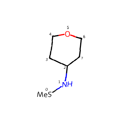 CSNC1CCOCC1